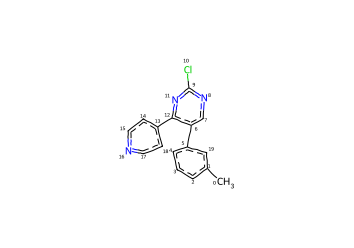 Cc1cccc(-c2cnc(Cl)nc2-c2ccncc2)c1